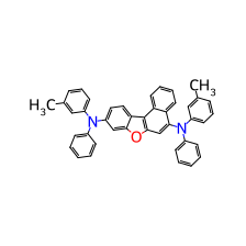 Cc1cccc(N(c2ccccc2)c2ccc3c(c2)oc2cc(N(c4ccccc4)c4cccc(C)c4)c4ccccc4c23)c1